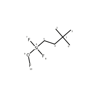 CC(C)(C)CC[Si](F)(F)OF